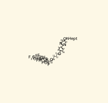 CCCCCCCOc1cnc(-c2ccc(OCCCCOCC(F)(F)OC(F)(F)C(F)(F)OC(F)(F)C(F)(F)OC(F)(F)F)cc2)nc1